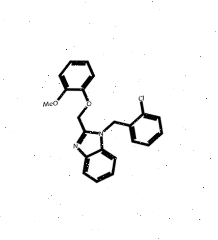 COc1ccccc1OCc1nc2ccccc2n1Cc1ccccc1Cl